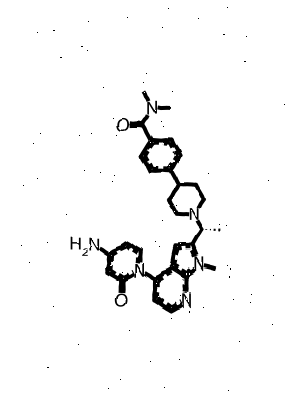 C[C@H](c1cc2c(-n3ccc(N)cc3=O)ccnc2n1C)N1CCC(c2ccc(C(=O)N(C)C)cc2)CC1